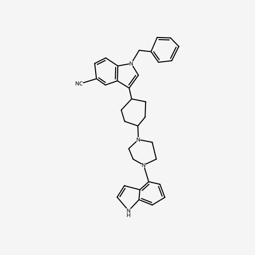 N#Cc1ccc2c(c1)c(C1CCC(N3CCN(c4cccc5[nH]ccc45)CC3)CC1)cn2Cc1ccccc1